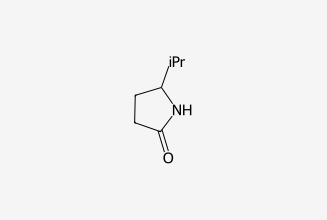 CC(C)C1CCC(=O)N1